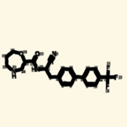 N#CC(Cc1ccc(-c2ccc(C(F)(F)F)cc2)cc1)NC(=O)C1CNCCCO1